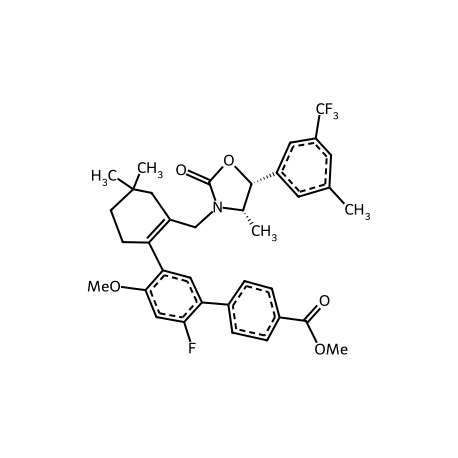 COC(=O)c1ccc(-c2cc(C3=C(CN4C(=O)O[C@H](c5cc(C)cc(C(F)(F)F)c5)[C@@H]4C)CC(C)(C)CC3)c(OC)cc2F)cc1